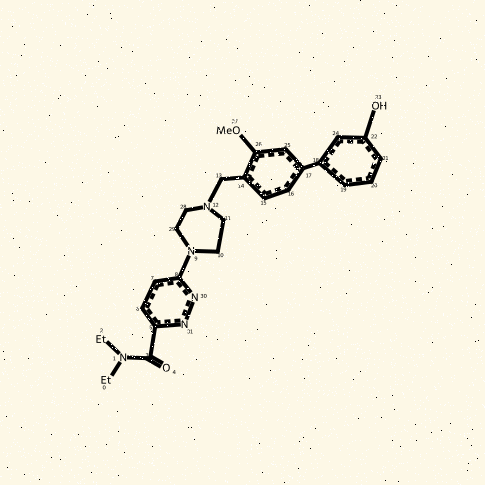 CCN(CC)C(=O)c1ccc(N2CCN(Cc3ccc(-c4cccc(O)c4)cc3OC)CC2)nn1